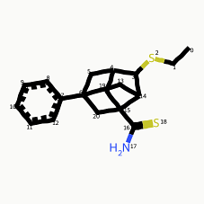 CCSC1C2CC3(c4ccccc4)CC1C(C(N)=S)(C2)C3